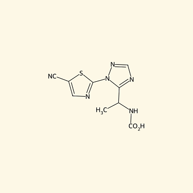 CC(NC(=O)O)c1ncnn1-c1ncc(C#N)s1